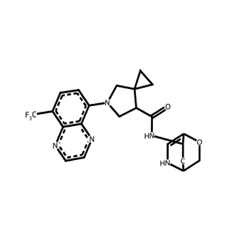 O=C(NC1CC2COC1=CN2)C1CN(c2ccc(C(F)(F)F)c3nccnc23)CC12CC2